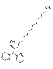 CCCCCCCCCCCCCCC(=NO)C(c1ccccn1)c1ccccn1